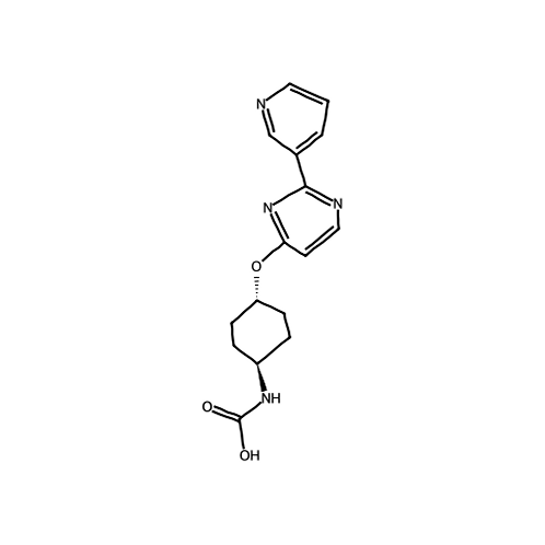 O=C(O)N[C@H]1CC[C@H](Oc2ccnc(-c3cccnc3)n2)CC1